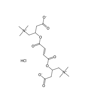 C[N+](C)(C)CC(CC(=O)[O-])OC(=O)/C=C/C(=O)OC(CC(=O)[O-])C[N+](C)(C)C.Cl